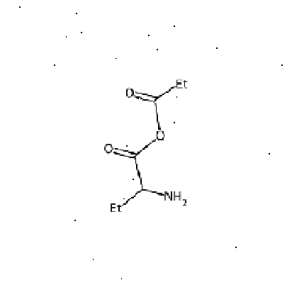 CCC(=O)OC(=O)C(N)CC